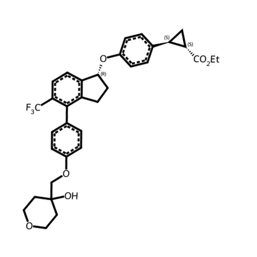 CCOC(=O)[C@H]1C[C@@H]1c1ccc(O[C@@H]2CCc3c2ccc(C(F)(F)F)c3-c2ccc(OCC3(O)CCOCC3)cc2)cc1